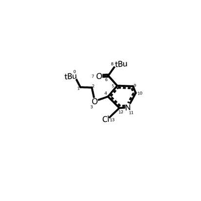 CC(C)(C)CCOc1c(C(=O)C(C)(C)C)ccnc1Cl